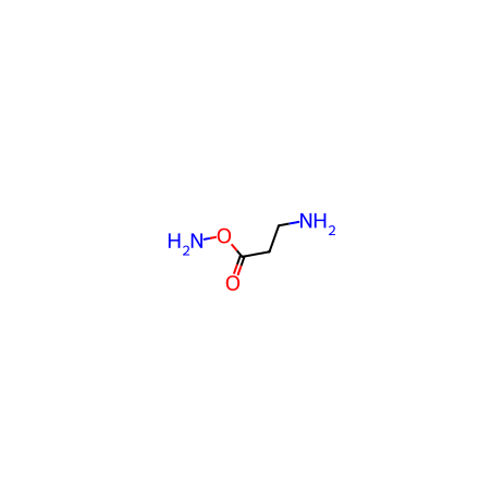 NCCC(=O)ON